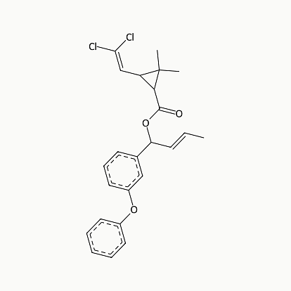 CC=CC(OC(=O)C1C(C=C(Cl)Cl)C1(C)C)c1cccc(Oc2ccccc2)c1